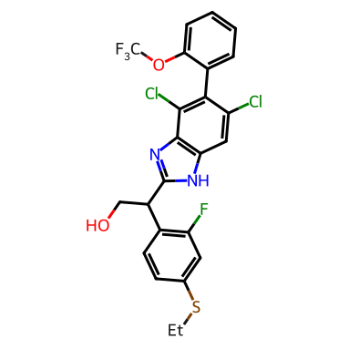 CCSc1ccc(C(CO)c2nc3c(Cl)c(-c4ccccc4OC(F)(F)F)c(Cl)cc3[nH]2)c(F)c1